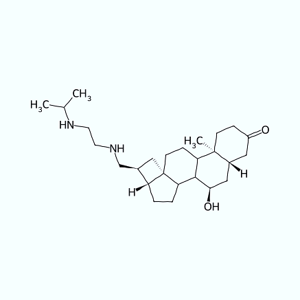 CC(C)NCCNC[C@H]1C[C@]23CCC4C(C2CC[C@H]13)[C@H](O)C[C@H]1CC(=O)CC[C@]41C